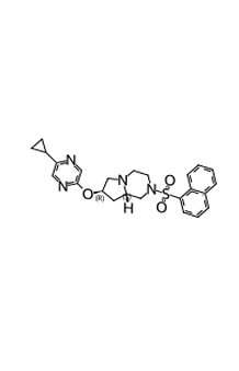 O=S(=O)(c1cccc2ccccc12)N1CCN2C[C@H](Oc3cnc(C4CC4)cn3)C[C@H]2C1